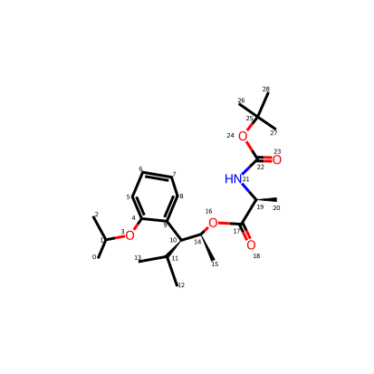 CC(C)Oc1ccccc1[C@H](C(C)C)[C@H](C)OC(=O)[C@H](C)NC(=O)OC(C)(C)C